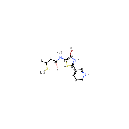 CCSC(C)CC(=O)N(CC)c1sc(-c2cccnc2)nc1Br